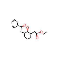 CCOC(=O)CC1CCCC(CC(=O)c2ccccc2)C1=O